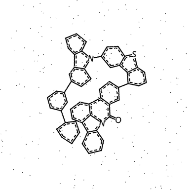 O=c1c2cc(-c3cccc4sc5ccc(-n6c7ccccc7c7cc(-c8cccc(-c9ccccc9)c8)ccc76)cc5c34)ccc2c2cccc3c4ccccc4n1c23